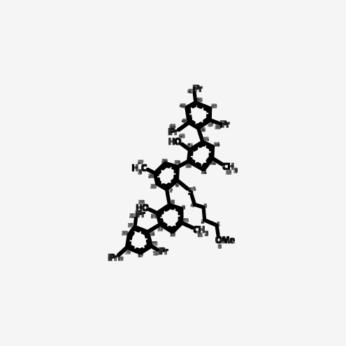 COCCCCSc1c(-c2cc(C)cc(-c3c(C(C)C)cc(C(C)C)cc3C(C)C)c2O)cc(C)cc1-c1cc(C)cc(-c2c(C(C)C)cc(C(C)C)cc2C(C)C)c1O